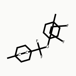 CC12CCC(C(F)(F)OC34CCC(C)(CC3)C(F)=C4F)(CC1)CC2